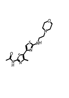 CC(=O)Nc1nc(C)c(-c2csc(NCCN3CCOCC3)n2)s1